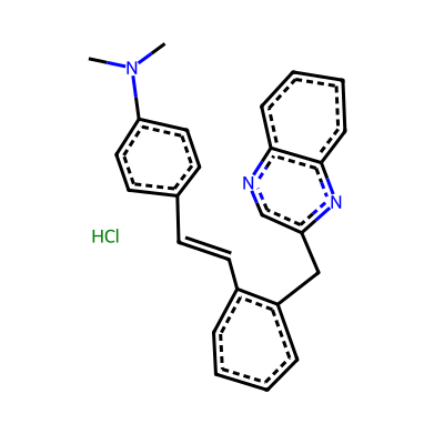 CN(C)c1ccc(C=Cc2ccccc2Cc2cnc3ccccc3n2)cc1.Cl